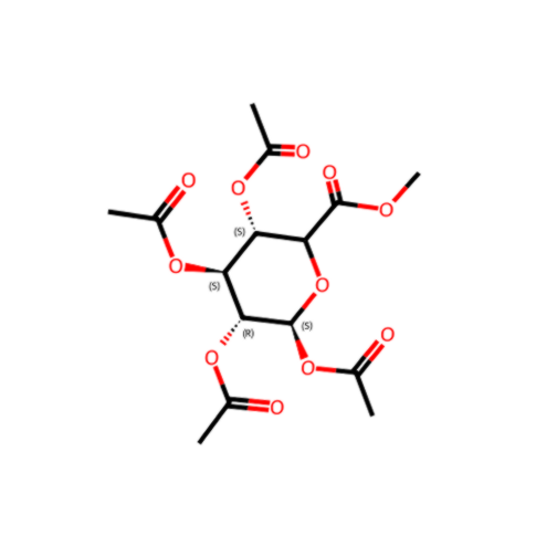 COC(=O)C1O[C@@H](OC(C)=O)[C@H](OC(C)=O)[C@@H](OC(C)=O)[C@@H]1OC(C)=O